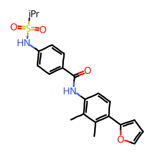 Cc1c(NC(=O)c2ccc(NS(=O)(=O)C(C)C)cc2)ccc(-c2ccco2)c1C